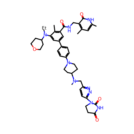 CCN(c1cc(-c2ccc(N3CCC(N(C)Cc4ccc(N5CCC(=O)NC5=O)nn4)CC3)cc2)cc(C(=O)NCc2c(C)cc(C)[nH]c2=O)c1C)C1CCOCC1